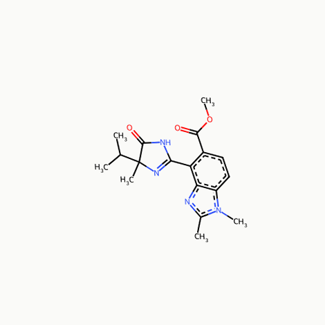 COC(=O)c1ccc2c(nc(C)n2C)c1C1=NC(C)(C(C)C)C(=O)N1